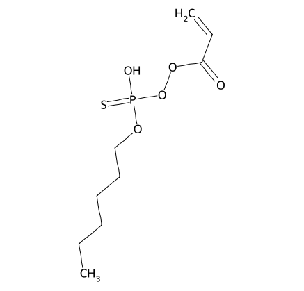 C=CC(=O)OOP(O)(=S)OCCCCCC